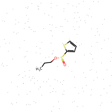 CCCO[S@@](=O)c1cccs1